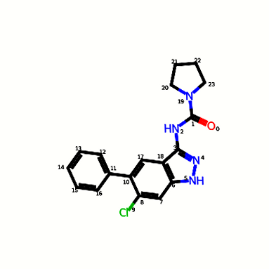 O=C(Nc1n[nH]c2cc(Cl)c(-c3ccccc3)cc12)N1CCCC1